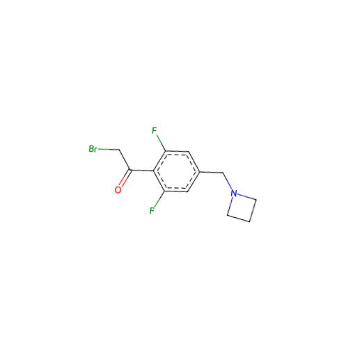 O=C(CBr)c1c(F)cc(CN2CCC2)cc1F